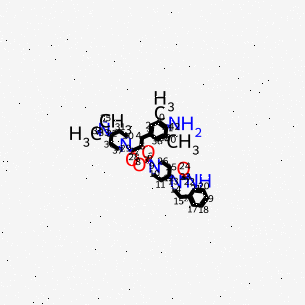 Cc1cc(CC(OC(=O)N2CCC(N3CCc4ccccc4NC3=O)CC2)C(=O)N2CCC(N(C)C)CC2)cc(C)c1N